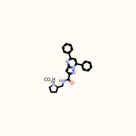 O=C(NCC1CCCN1C(=O)O)c1cc2nc(-c3ccccc3)cc(-c3ccccc3)n2n1